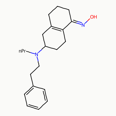 CCCN(CCc1ccccc1)C1CCC2=C(CCC/C2=N\O)C1